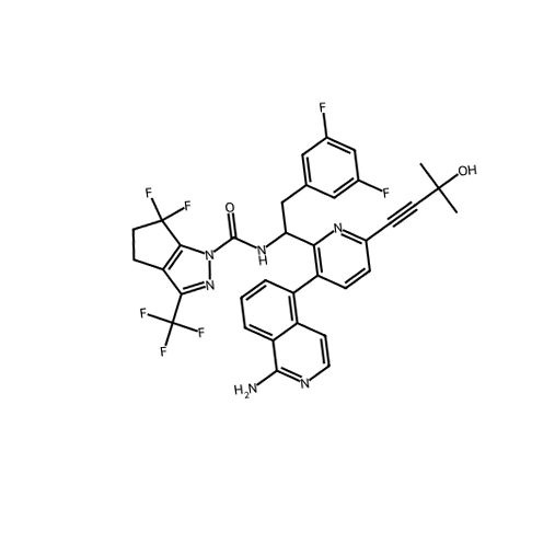 CC(C)(O)C#Cc1ccc(-c2cccc3c(N)nccc23)c(C(Cc2cc(F)cc(F)c2)NC(=O)n2nc(C(F)(F)F)c3c2C(F)(F)CC3)n1